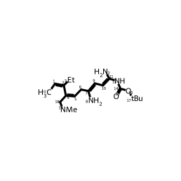 C/C=C(CC)\C(=C/C/C(N)=C/C=C(\N)NC(=O)OC(C)(C)C)CNC